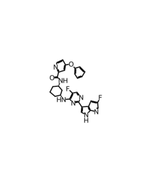 O=C(N[C@@H]1CCC[C@H](Nc2nc(-c3c[nH]c4ncc(F)cc34)ncc2F)C1)c1cc(Oc2ccccc2)ccn1